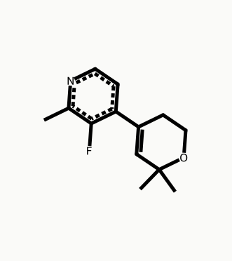 Cc1nccc(C2=CC(C)(C)OCC2)c1F